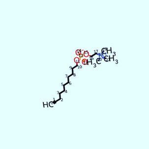 C#CCCCCCCCCCOP(=O)([O-])OCC[N+](C)(C)C